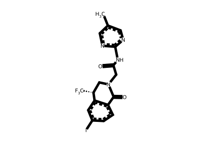 Cc1cnc(NC(=O)CN2C[C@@H](C(F)(F)F)c3cc(I)ccc3C2=O)nc1